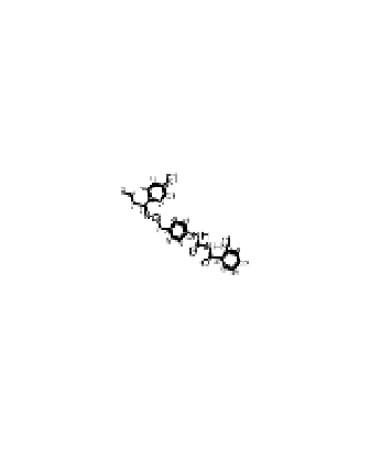 CCCC(=NOCc1ccc(NC(=O)NC(=O)c2ccccc2Cl)cc1)c1ccc(Cl)cc1